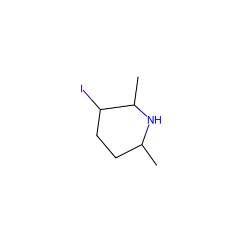 CC1CCC(I)C(C)N1